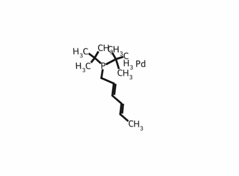 CC=CC=CCP(C(C)(C)C)C(C)(C)C.[Pd]